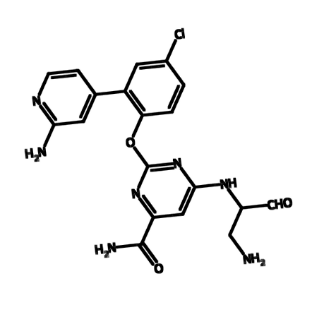 NCC(C=O)Nc1cc(C(N)=O)nc(Oc2ccc(Cl)cc2-c2ccnc(N)c2)n1